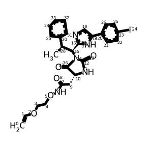 C=COCCONC(=O)C[C@H]1NC(=O)N([C@H](c2ncc(-c3ccc(I)cc3)[nH]2)[C@@H](C)c2ccccc2)C1=O